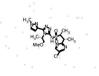 COC[C@H](C)n1c(NS(=O)(=O)[C@@H](C)[C@H](C)c2ncc(Cl)cn2)nnc1-c1ccn(C)n1